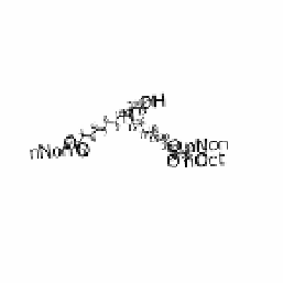 CCCCCCCCCOC(=O)CCCCCCCN(CCO)CCCCCCCOC(=O)C(CCCCCCCC)CCCCCCCCC